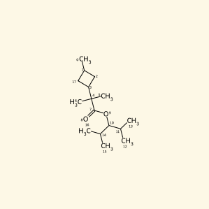 CC1CC(C(C)(C)C(=O)OC(C(C)C)C(C)C)C1